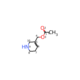 CC(=O)OCC1=CCCNC1